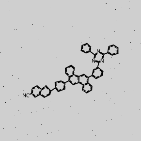 N#Cc1ccc2cc(-c3ccc(-c4cc5c6ccccc6c(-c6cccc(-c7nc(-c8ccccc8)nc(-c8ccccc8)n7)c6)cc5c5ccccc45)cc3)ccc2c1